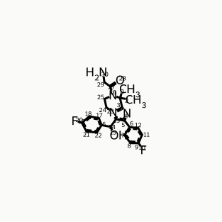 CC1(C)c2nc(-c3ccc(F)cc3)c(C(O)c3ccc(F)cc3)n2CCN1C(=O)CN